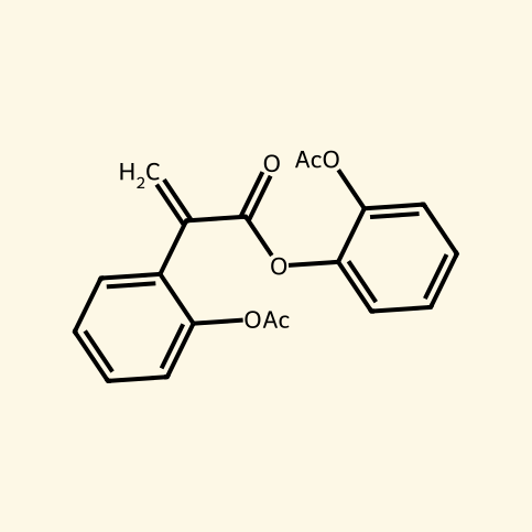 C=C(C(=O)Oc1ccccc1OC(C)=O)c1ccccc1OC(C)=O